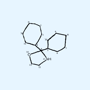 C1CCC(C2(C3CCCCC3)NCCO2)CC1